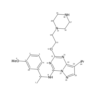 COc1cccc(C(C)Nc2nc(OCCN3CCNCC3)nc3c(C(C)C)cnn23)c1